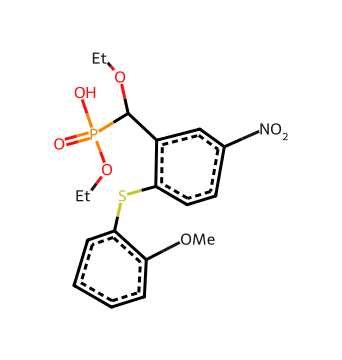 CCOC(c1cc([N+](=O)[O-])ccc1Sc1ccccc1OC)P(=O)(O)OCC